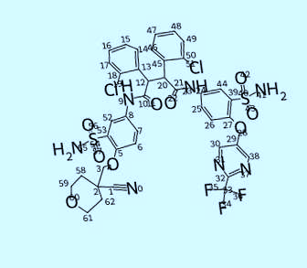 N#CC1(COc2ccc(NC(=O)C(c3ccccc3Cl)C(C(=O)Nc3ccc(Oc4cnc(C(F)(F)F)nc4)c(S(N)(=O)=O)c3)c3ccccc3Cl)cc2S(N)(=O)=O)CCOCC1